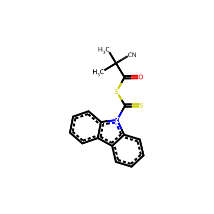 CC(C)(C#N)C(=O)SC(=S)n1c2ccccc2c2ccccc21